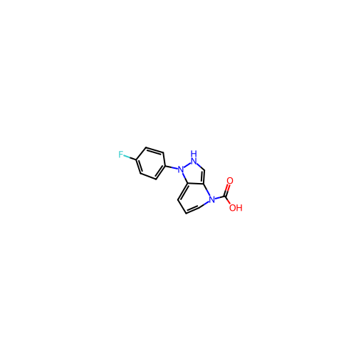 O=C(O)N1C=CC=C2C1=CNN2c1ccc(F)cc1